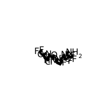 C[C@@]1(c2nc(NC(=O)c3ncc(OC(F)F)cc3Cl)ccc2F)CO[C@@](C)(C(F)(F)F)C(N)=N1